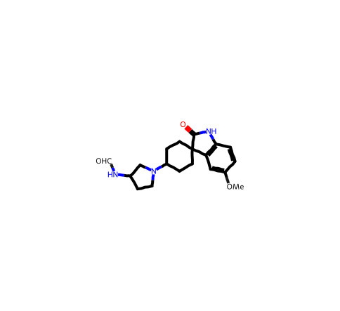 COc1ccc2c(c1)C1(CCC(N3CCC(NC=O)C3)CC1)C(=O)N2